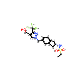 CCS(=O)(=O)N[C@@H]1Cc2ccc(Cn3cc(CO)c(C(F)(F)F)n3)cc2C1